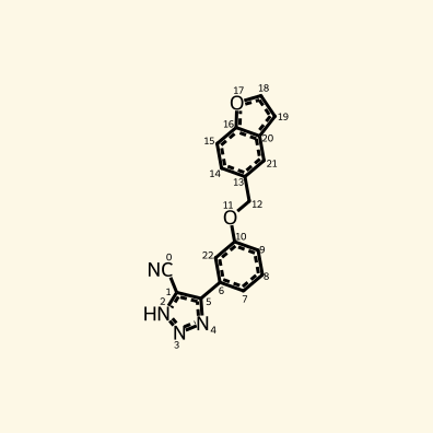 N#Cc1[nH]nnc1-c1cccc(OCc2ccc3occc3c2)c1